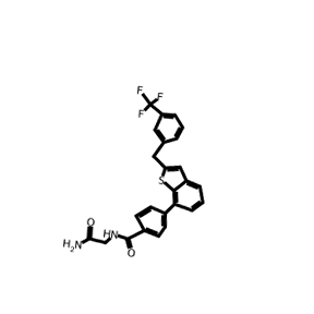 NC(=O)CNC(=O)c1ccc(-c2cccc3cc(Cc4cccc(C(F)(F)F)c4)sc23)cc1